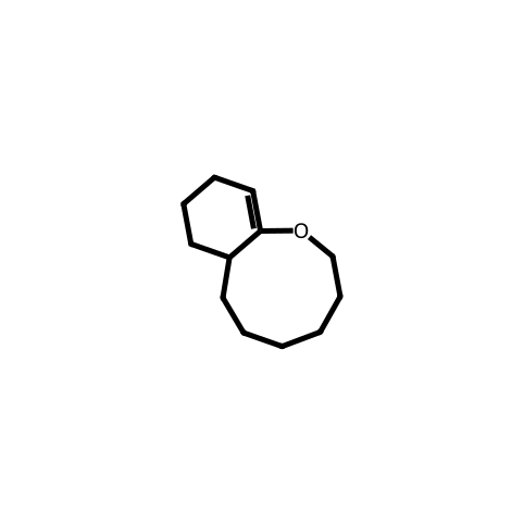 C1=C2OCCCCCCC2CCC1